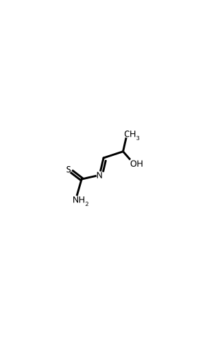 CC(O)C=NC(N)=S